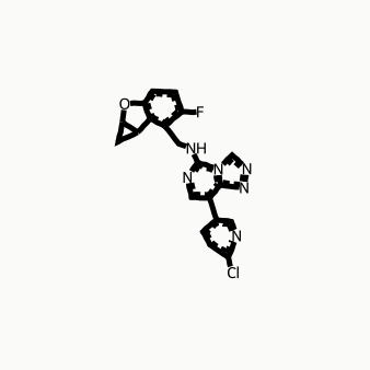 Fc1ccc2c(c1CNc1ncc(-c3ccc(Cl)nc3)c3nncn13)C1CC1O2